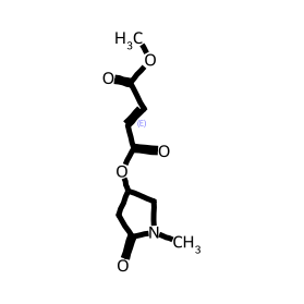 COC(=O)/C=C/C(=O)OC1CC(=O)N(C)C1